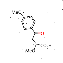 COc1ccc(C(=O)CC(OC)C(=O)O)cc1